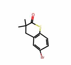 CC1(C)Cc2cc(Br)ccc2SC1=O